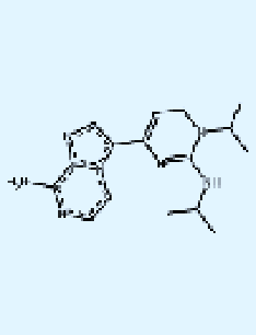 CC(C)NC1=NC(c2cnc3c(N)nccn23)=CCN1C(C)C